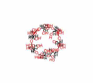 O=C[C@H]1OC2O[C@H]3[C@H](O)[C@@H](O)C(O[C@H]4[C@H](O)[C@@H](O)C(O[C@H]5[C@H](O)[C@@H](O)C(O[C@H]6[C@H](O)[C@@H](O)C(O[C@H]7[C@H](O)[C@@H](O)C(O[C@H]8[C@H](O)[C@@H](O)C(O[C@H]1[C@H](O)[C@H]2O)O[C@@H]8CO)O[C@@H]7CO)O[C@@H]6CO)O[C@@H]5CO)O[C@@H]4CO)O[C@@H]3CO